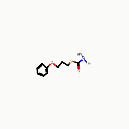 CCCN(CCC)C(=O)SCCCOc1ccccc1